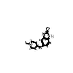 CN1CCC(Sc2ccc3c(c2)[N]C(=O)N3)CC1